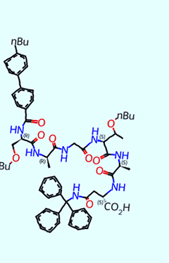 CCCCOC[C@@H](NC(=O)c1ccc(-c2ccc(CCCC)cc2)cc1)C(=O)N[C@H](C)C(=O)NCC(=O)N[C@H](C(=O)N[C@@H](C)C(=O)N[C@@H](CC(=O)NC(c1ccccc1)(c1ccccc1)c1ccccc1)C(=O)O)C(C)OCCCC